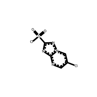 O=S(=O)(Cl)c1nc2ncc(Cl)cn2n1